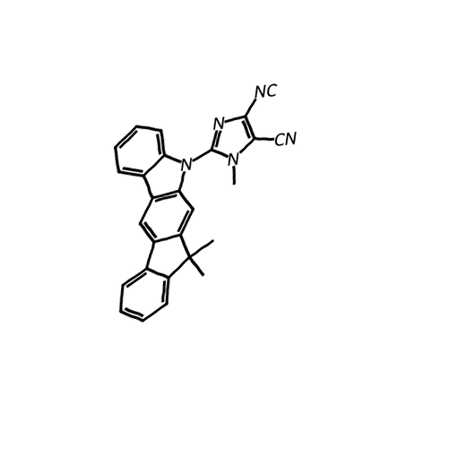 [C-]#[N+]c1nc(-n2c3ccccc3c3cc4c(cc32)C(C)(C)c2ccccc2-4)n(C)c1C#N